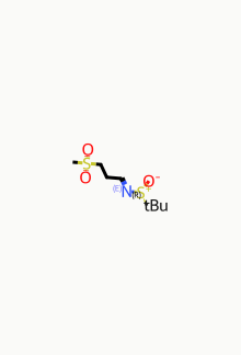 CC(C)(C)[S@+]([O-])/N=C/CCS(C)(=O)=O